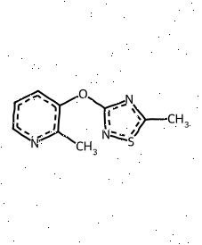 Cc1nc(Oc2cccnc2C)ns1